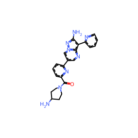 Nc1nn2cc(-c3cccc(C(=O)N4CCC(N)CC4)n3)cnc2c1-c1ccccn1